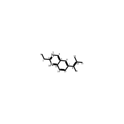 CCc1ncc2cc(C(C)=C(C)C)ccc2n1